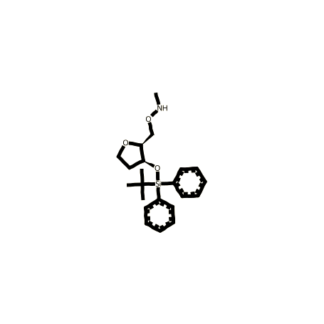 CNOC[C@@H]1OCC[C@@H]1O[Si](c1ccccc1)(c1ccccc1)C(C)(C)C